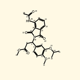 COC(=O)CC(c1ccc(OC)c(OC(C)C)c1)N1C(=O)c2cccc(NC(C)=O)c2C1=O